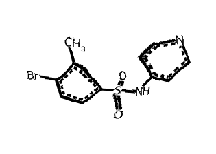 Cc1cc(S(=O)(=O)Nc2ccncc2)ccc1Br